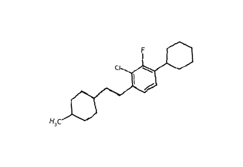 CC1CCC(CCc2ccc(C3CCCCC3)c(F)c2Cl)CC1